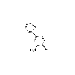 C=C(/C=C\C(=C/C)CN)c1ccccn1